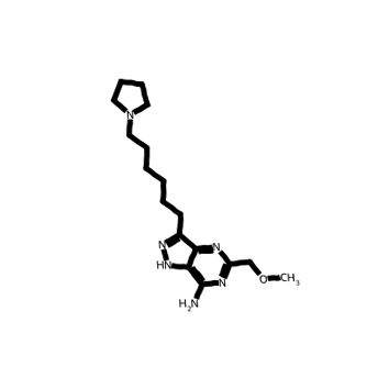 COCc1nc(N)c2[nH]nc(CCCCCCN3CCCC3)c2n1